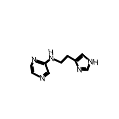 c1cnc(NCCc2c[nH]cn2)cn1